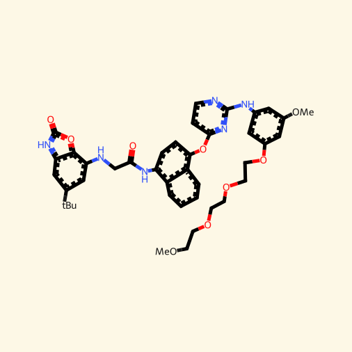 COCCOCCOCCOc1cc(Nc2nccc(Oc3ccc(NC(=O)CNc4cc(C(C)(C)C)cc5[nH]c(=O)oc45)c4ccccc34)n2)cc(OC)c1